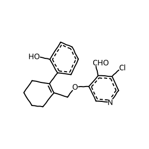 O=Cc1c(Cl)cncc1OCC1=C(c2ccccc2O)CCCC1